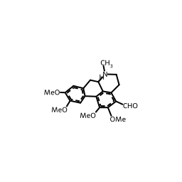 COc1cc2c(cc1OC)-c1c(OC)c(OC)c(C=O)c3c1[C@H](C2)N(C)CC3